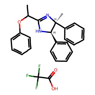 CC(Oc1ccccc1)C1=N[C@@](C)(c2ccccc2)[C@@H](c2ccccc2)N1.O=C(O)C(F)(F)F